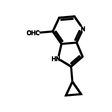 O=Cc1ccnc2cc(C3CC3)[nH]c12